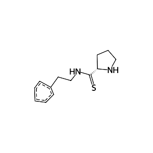 S=C(NCCc1ccccc1)[C@@H]1CCCN1